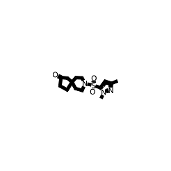 Cc1cc(S(=O)(=O)N2CCC3(CCC(=O)C3)CC2)n(C)n1